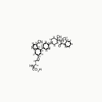 CC1(NC(=O)c2ncccc2Cl)CCN(c2ccc(-c3cc(OCCNC(=O)O)cn4ncc(C#N)c34)cn2)CC1